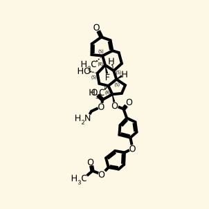 CC(=O)Oc1ccc(Oc2ccc(C(=O)O[C@]3(C(=O)OCN)CC[C@H]4[C@@H]5CCC6=CC(=O)C=C[C@]6(C)[C@@]5(F)[C@@H](O)C[C@@]43C)cc2)cc1